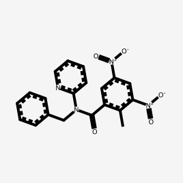 Cc1c(C(=O)N(Cc2ccccc2)c2ccccn2)cc([N+](=O)[O-])cc1[N+](=O)[O-]